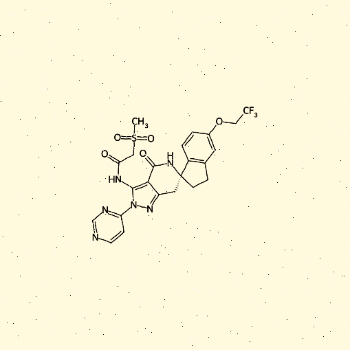 CS(=O)(=O)CC(=O)Nc1c2c(nn1-c1ccncn1)C[C@]1(CCc3cc(OCC(F)(F)F)ccc31)NC2=O